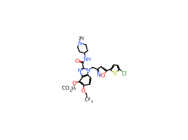 CC(C)N1CCC(NC(=O)c2nc3c(OC(=O)O)c(OCC(F)(F)F)ccc3n2Cc2cc(-c3ccc(Cl)s3)on2)CC1